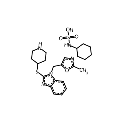 Cc1ncc(Cn2c(SC3CCNCC3)nc3ccccc32)o1.O=S(=O)(O)NC1CCCCC1